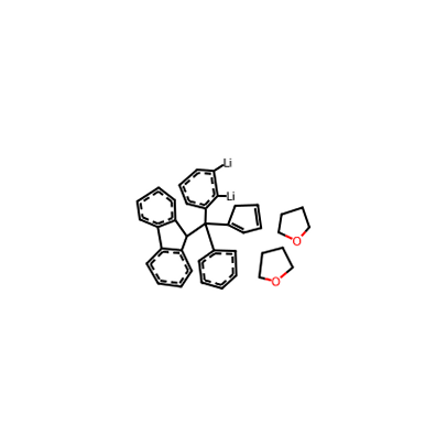 C1CCOC1.C1CCOC1.[Li][c]1cccc(C(C2=CC=CC2)(c2ccccc2)C2c3ccccc3-c3ccccc32)[c]1[Li]